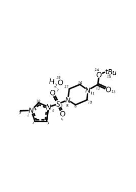 C[n+]1ccn(S(=O)(=O)N2CCN(C(=O)OC(C)(C)C)CC2)c1.O